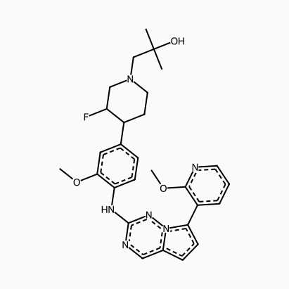 COc1cc(C2CCN(CC(C)(C)O)CC2F)ccc1Nc1ncc2ccc(-c3cccnc3OC)n2n1